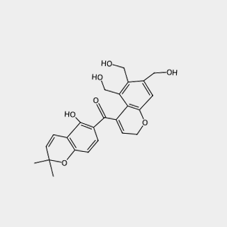 CC1(C)C=Cc2c(ccc(C(=O)C3=CCOc4cc(CO)c(CO)c(CO)c43)c2O)O1